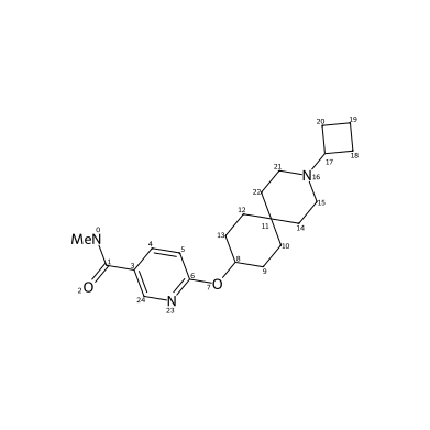 CNC(=O)c1ccc(OC2CCC3(CC2)CCN(C2CCC2)CC3)nc1